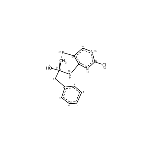 C[C@](O)(Cc1ccccc1)Nc1nc(Cl)ncc1F